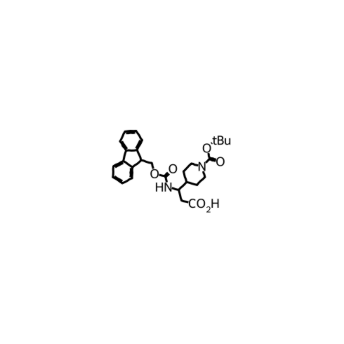 CC(C)(C)OC(=O)N1CCC(C(CC(=O)O)NC(=O)OCC2c3ccccc3-c3ccccc32)CC1